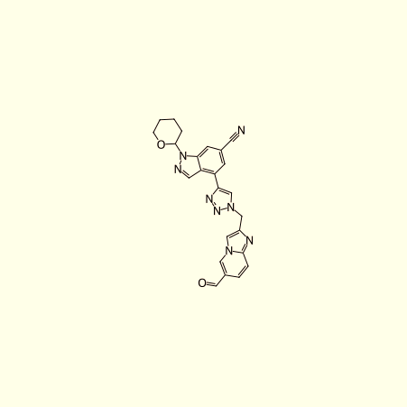 N#Cc1cc(-c2cn(Cc3cn4cc(C=O)ccc4n3)nn2)c2cnn(C3CCCCO3)c2c1